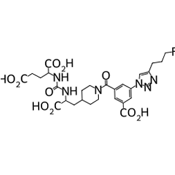 O=C(O)CCC(NC(=O)NC(CC1CCN(C(=O)c2cc(C(=O)O)cc(-n3cc(CCCF)nn3)c2)CC1)C(=O)O)C(=O)O